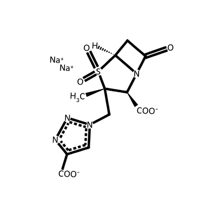 C[C@]1(Cn2cc(C(=O)[O-])nn2)[C@H](C(=O)[O-])N2C(=O)C[C@@H]2S1(=O)=O.[Na+].[Na+]